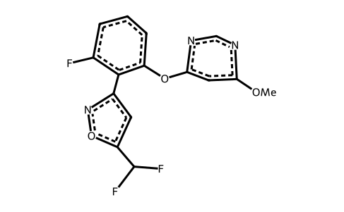 COc1cc(Oc2cccc(F)c2-c2cc(C(F)F)on2)ncn1